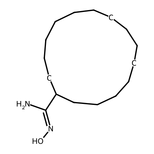 N/C(=N\O)C1CCCCCCCCCCCCCC1